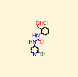 O=C(Nc1ccnc(Br)c1)Nc1cccc(Cl)c1CO